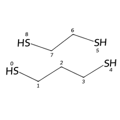 SCCCS.SCCS